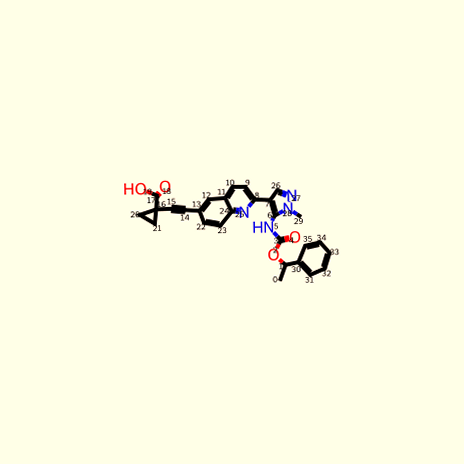 CC(OC(=O)Nc1c(-c2ccc3cc(C#CC4(C(=O)O)CC4)ccc3n2)cnn1C)c1ccccc1